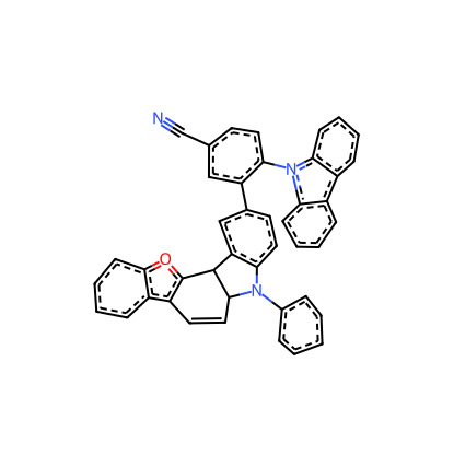 N#Cc1ccc(-n2c3ccccc3c3ccccc32)c(-c2ccc3c(c2)C2c4oc5ccccc5c4C=CC2N3c2ccccc2)c1